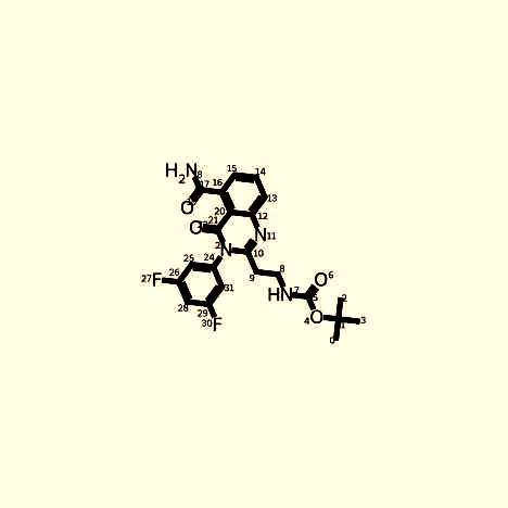 CC(C)(C)OC(=O)NCCc1nc2cccc(C(N)=O)c2c(=O)n1-c1cc(F)cc(F)c1